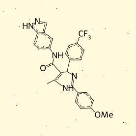 COc1ccc(C2=NC(c3ccc(C(F)(F)F)cc3)C(C(=O)Nc3ccc4[nH]ncc4c3)=C(C)N2)cc1